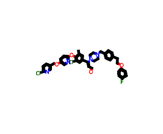 Cc1cc(C(=CC=O)N2CCN(Cc3ccc(CCOc4ccc(F)cc4)cc3)CC2)cc(Cl)c1Oc1ccc(OCc2ccc(Cl)nc2)cn1